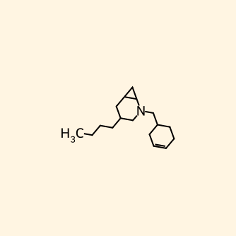 CCCCC1CC2CC2N(CC2CC=CCC2)C1